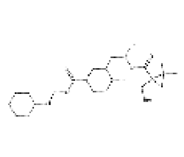 CCC(CC1CC(C(=O)OCOC2CCCCC2)CCC1C)OC(=O)C1(CC(C)(C)C)CC1(C)C